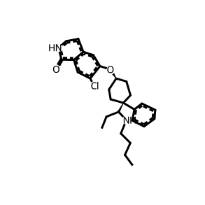 CCCCNC(CC)[C@]1(c2ccccc2)CC[C@H](Oc2cc3cc[nH]c(=O)c3cc2Cl)CC1